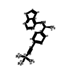 C[C@H](Nc1ncnc2sccc12)c1ccc(C#C[Si](C)(C)C)cc1